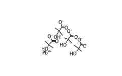 CC(C)(O)C(=O)[O-].CC(C)(O)C(=O)[O-].CC(C)(O)C(=O)[O-].CC(C)(O)C(=O)[O-].[Pb+4]